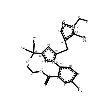 C=C(OCC)c1cc(F)ccc1-n1nc(C(F)(F)F)cc1Cc1cnn(CC)c1Br